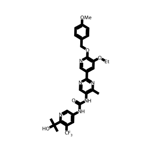 CCOc1cc(-c2ncc(NC(=O)Nc3cnc(C(C)(C)O)c(C(F)(F)F)c3)c(C)n2)cnc1OCc1ccc(OC)cc1